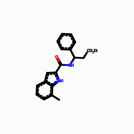 CCOC(=O)CC(NC(=O)c1cc2cccc(C)c2[nH]1)c1ccccc1